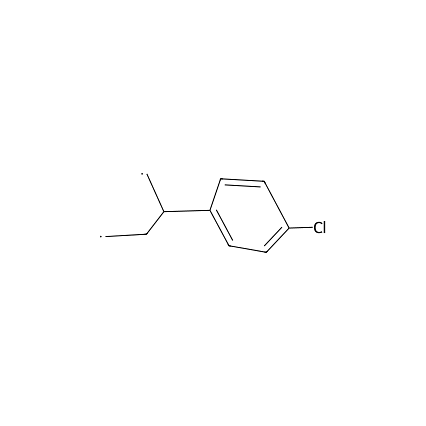 [CH2]CC([CH2])c1ccc(Cl)cc1